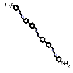 Cc1ccc(/C=C/C=C/c2ccc(-c3ccc(/C=C/C=C/c4ccc(-c5ccc(/C=C/C=C/c6ccc(N)cc6)cc5)cc4)cc3)cc2)cc1